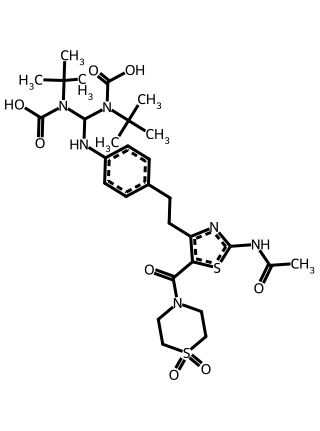 CC(=O)Nc1nc(CCc2ccc(NC(N(C(=O)O)C(C)(C)C)N(C(=O)O)C(C)(C)C)cc2)c(C(=O)N2CCS(=O)(=O)CC2)s1